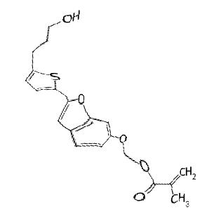 C=C(C)C(=O)OCOc1ccc2cc(-c3ccc(CCCO)s3)oc2c1